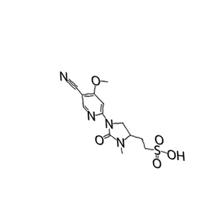 COc1cc(N2CC(CCS(=O)(=O)O)N(C)C2=O)ncc1C#N